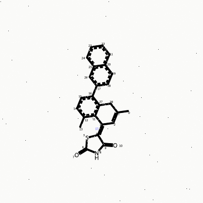 CC1=C/C(=C2/SC(=O)NC2=O)c2c(C)ccc(-c3ccc4ccccc4c3)c2C1